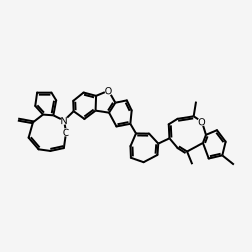 C=C1/C=C\C=C/CN(c2ccc3oc4ccc(C5=CC(c6ccc(C)oc7ccc(C)cc7c(C)c6)=CCC=C5)cc4c3c2)c2ccccc21